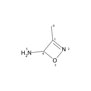 CC1=NOC1N